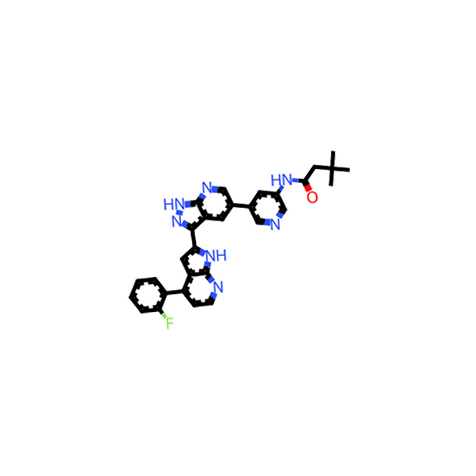 CC(C)(C)CC(=O)Nc1cncc(-c2cnc3[nH]nc(-c4cc5c(-c6ccccc6F)ccnc5[nH]4)c3c2)c1